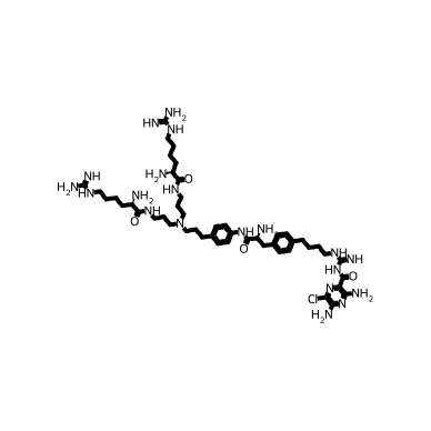 N=C(N)NCCCC[C@H](N)C(=O)NCCCN(CCCNC(=O)[C@@H](N)CCCCNC(=N)N)CCCc1ccc(NC(=O)[C@@H](N)Cc2ccc(CCCCNC(=N)NC(=O)c3nc(Cl)c(N)nc3N)cc2)cc1